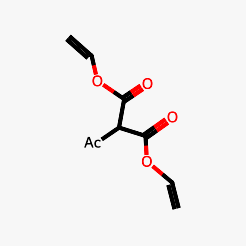 C=COC(=O)C(C(C)=O)C(=O)OC=C